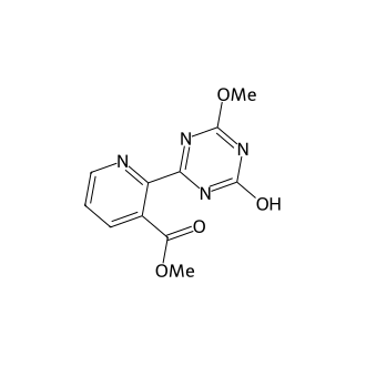 COC(=O)c1cccnc1-c1nc(O)nc(OC)n1